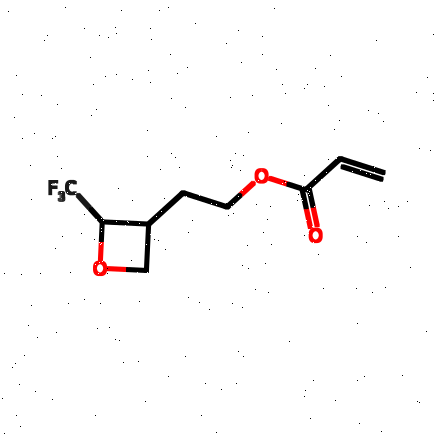 C=CC(=O)OCCC1COC1C(F)(F)F